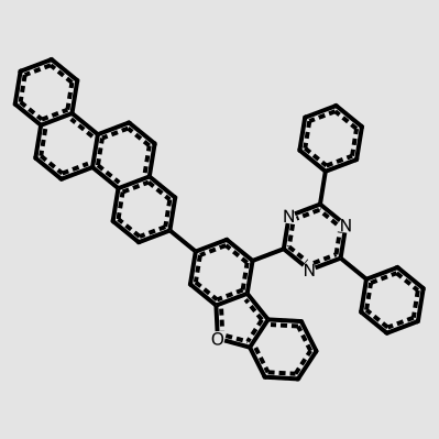 c1ccc(-c2nc(-c3ccccc3)nc(-c3cc(-c4ccc5c(ccc6c7ccccc7ccc56)c4)cc4oc5ccccc5c34)n2)cc1